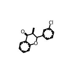 C=C1C(=O)c2ccccc2OC1c1cccc(Cl)c1